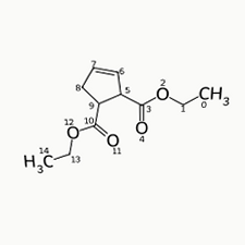 CCOC(=O)C1C=CCC1C(=O)OCC